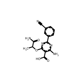 CC(Oc1nc(-c2cccc(C#N)c2)nc(N)c1C(=O)O)C(N)=O